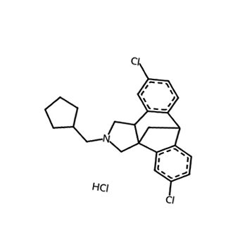 Cl.Clc1ccc2c(c1)C1CN(CC3CCCC3)CC13CC2c1ccc(Cl)cc13